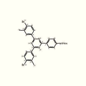 CCCCCCc1ccc(-c2nc(-c3ccc(Br)c(C)c3)nc(-c3ccc(Br)c(C)c3)n2)cc1